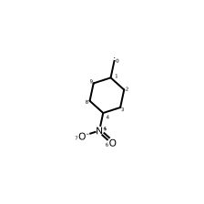 [CH2]C1CCC([N+](=O)[O-])CC1